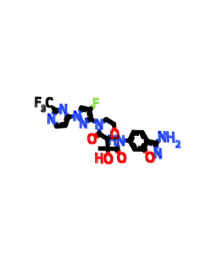 CC(O)(C(=O)Nc1ccc2c(N)noc2c1)C1OCCN(c2nn(-c3ccnc(C(F)(F)F)n3)cc2F)C1=O